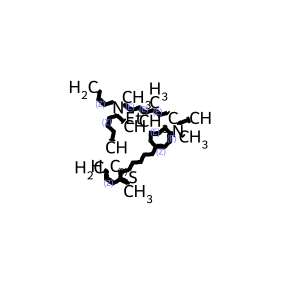 C#CC/C=C\C(C#C)N(C/C=C\C=C)/C(C)=C(/C=C(C)/C(C)=C/C=C=C(C#C)N(C)/C1=C/C=C(/CCCCC2SC(C)=C(/C=C\C=C)[C@H]2C)C/C=C/C1)CC